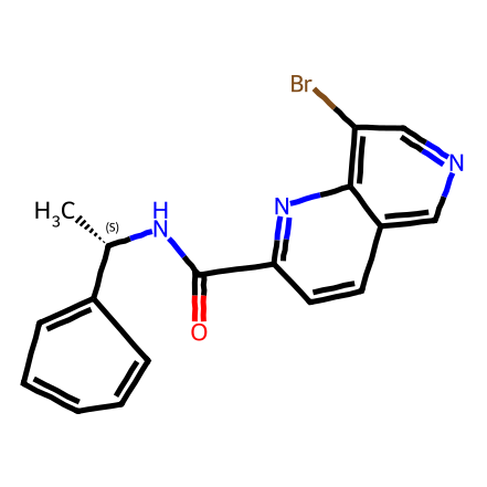 C[C@H](NC(=O)c1ccc2cncc(Br)c2n1)c1ccccc1